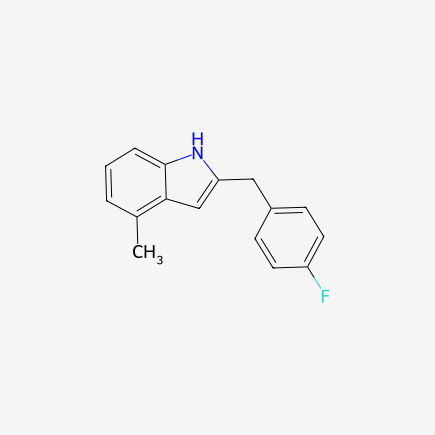 Cc1cccc2[nH]c(Cc3ccc(F)cc3)cc12